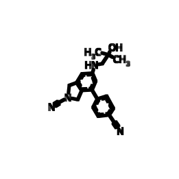 CC(C)(O)CNc1cc2c(c(-c3ccc(C#N)cc3)c1)CN(C#N)C2